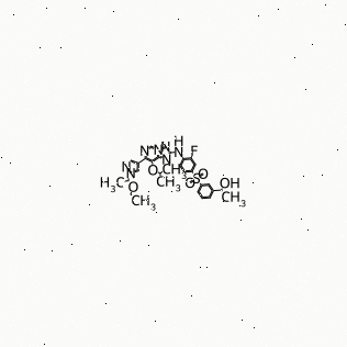 CCOC(C)n1cc(-c2ncn3nc(Nc4ccc(S(=O)(=O)c5cccc(C(C)O)c5)cc4F)nc3c2OC(C)C)cn1